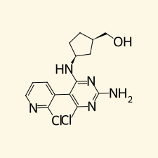 Nc1nc(Cl)c(-c2cccnc2Cl)c(N[C@H]2CC[C@@H](CO)C2)n1